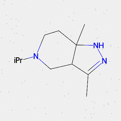 CC1=NNC2(C)CCN(C(C)C)CC12